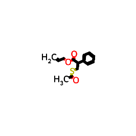 C=CCOC(=O)C(CSC(C)=O)c1ccccc1